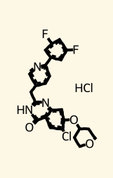 Cl.O=c1[nH]c(Cc2ccc(-c3cc(F)cc(F)c3)nc2)nc2cc(OC3CCOCC3)c(Cl)cc12